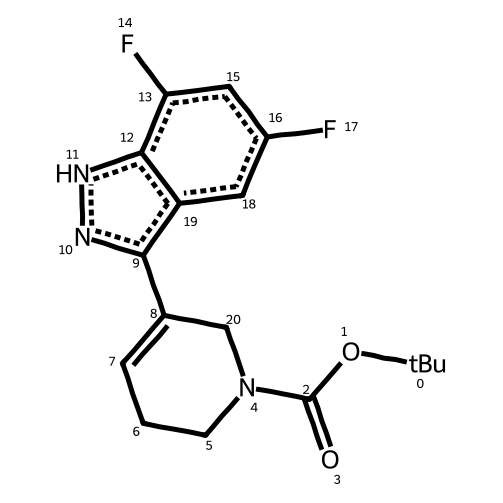 CC(C)(C)OC(=O)N1CCC=C(c2n[nH]c3c(F)cc(F)cc23)C1